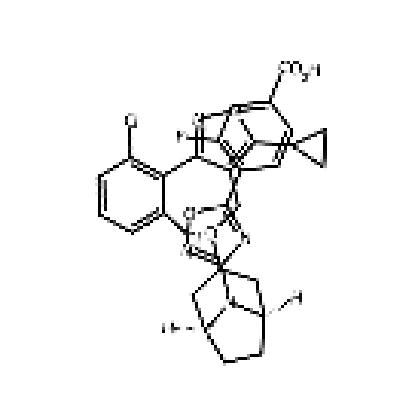 O=C(O)c1ccc(-c2nc(N3[C@@H]4CC[C@H]3CC(OCc3c(-c5c(Cl)cccc5Cl)noc3C3CC3)C4)no2)c(F)c1